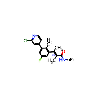 CCCNC(=O)/C(C)=C(\C)c1cc(F)cc(-c2ccnc(Cl)c2)c1C